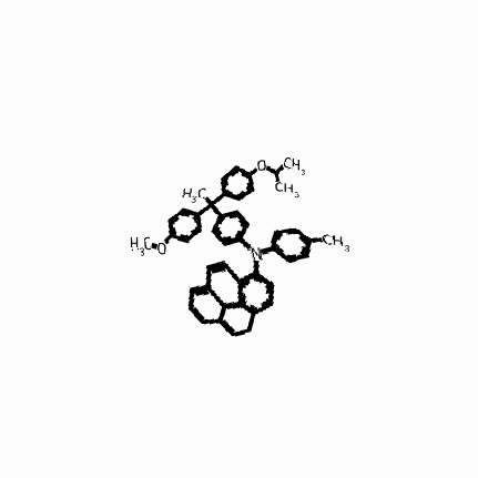 COc1ccc(C(C)(c2ccc(OC(C)C)cc2)c2ccc(N(c3ccc(C)cc3)c3ccc4c5c3C=CC3=CC=CC(=CC4)C35)cc2)cc1